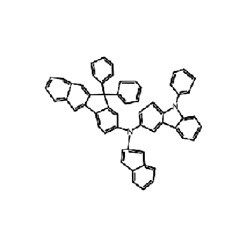 c1ccc(-n2c3ccccc3c3cc(N(c4ccc5c(c4)C(c4ccccc4)(c4ccccc4)c4cc6ccccc6cc4-5)c4ccc5ccccc5c4)ccc32)cc1